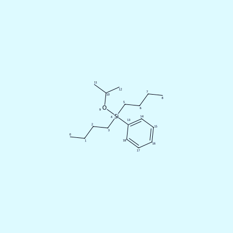 CCCC[Si](CCCC)(OC(C)C)c1ccccc1